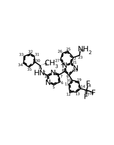 C[C@H](Nc1nccc(-c2c(-c3cccc(C(F)(F)F)c3)nc3c(CN)cccn23)n1)c1ccccc1